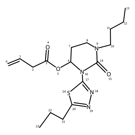 C=CCC(=O)OC1CCN(CCCC)C(=O)N1c1nnc(CCC)s1